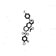 CC(=O)[C@]12Cc3cnn(-c4ccc(F)cc4)c3C=C1CCN(S(=O)(=O)c1ccc(Cl)c(F)c1)C2